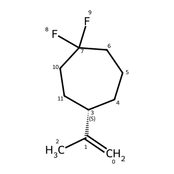 C=C(C)[C@H]1CCCC(F)(F)CC1